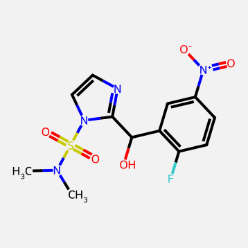 CN(C)S(=O)(=O)n1ccnc1C(O)c1cc([N+](=O)[O-])ccc1F